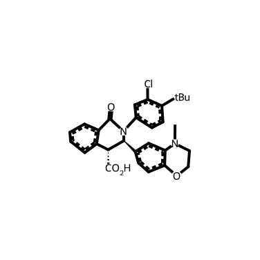 CN1CCOc2ccc([C@H]3[C@H](C(=O)O)c4ccccc4C(=O)N3c3ccc(C(C)(C)C)c(Cl)c3)cc21